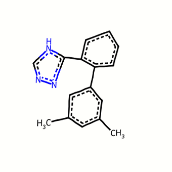 Cc1cc(C)cc(-c2ccccc2-c2nnc[nH]2)c1